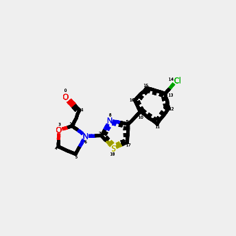 O=CC1OCCN1c1nc(-c2ccc(Cl)cc2)cs1